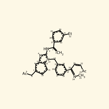 C=C(Nc1nc2cc(CC(C)=O)ccc2n1Cc1cccc(C(/C=C\C(C)=O)=N/C)c1)c1cccc(CC)c1